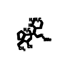 C/C=C\C(C#N)=C/C(C)(C1=CC=CC1)/C(C=NSC)=C(/C=C\C)NN